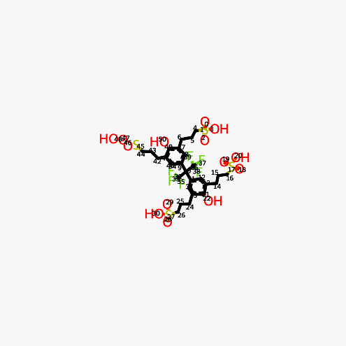 O=S(=O)(O)CCCc1cc(C(c2cc(CCCS(=O)(=O)O)c(O)c(CCCS(=O)(=O)O)c2)(C(F)(F)F)C(F)(F)F)cc(CCCSOOO)c1O